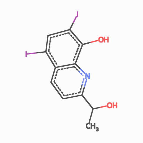 CC(O)c1ccc2c(I)cc(I)c(O)c2n1